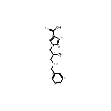 O=C(O)c1cn(CC(O)COCc2ccccc2)nn1